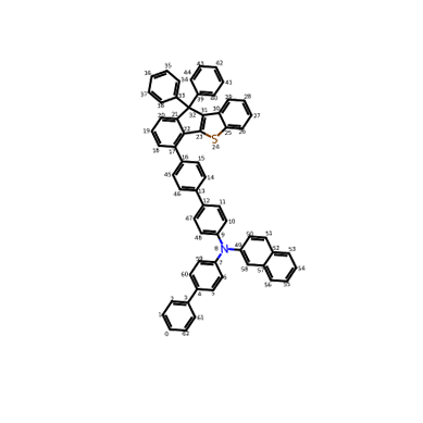 c1ccc(-c2ccc(N(c3ccc(-c4ccc(-c5cccc6c5-c5sc7ccccc7c5C6(c5ccccc5)c5ccccc5)cc4)cc3)c3ccc4ccccc4c3)cc2)cc1